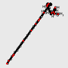 COCCOCCOCCOCCOCCOCCOCCOCCOCCOCCOCCOCCOCCOCCOCCOCCOCCOCCOCCOCCOCCOCCOCCOCCC(=O)NCCCC[C@@H](C(=O)NCCC(=O)N[C@H](C(=O)N[C@@H](CCCNC(N)=O)C(=O)Nc1ccc(CO)cc1)C(C)C)N(CC1c2ccccc2-c2ccccc21)C(=O)O